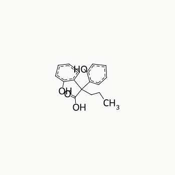 CCCC(C(=O)O)(c1ccccc1O)c1ccccc1O